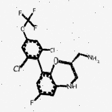 NC[C@H]1CNc2cc(F)cc(-c3c(Cl)cc(OC(F)(F)F)cc3Cl)c2O1